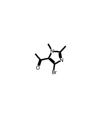 CC(=O)c1c(Br)nc(C)n1C